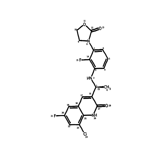 C[C@H](Nc1cccc(N2CCOC2=O)c1F)c1cc2cc(F)cc(Cl)c2[nH]c1=O